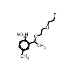 Cc1ccc(S(=O)(=O)O)c(C(C)OCCOCCF)c1